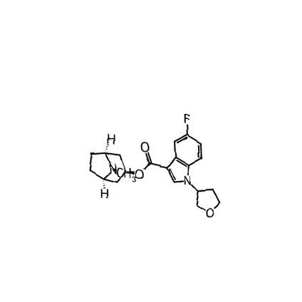 CN1[C@@H]2CC[C@H]1C[C@@H](OC(=O)c1cn(C3CCOC3)c3ccc(F)cc13)C2